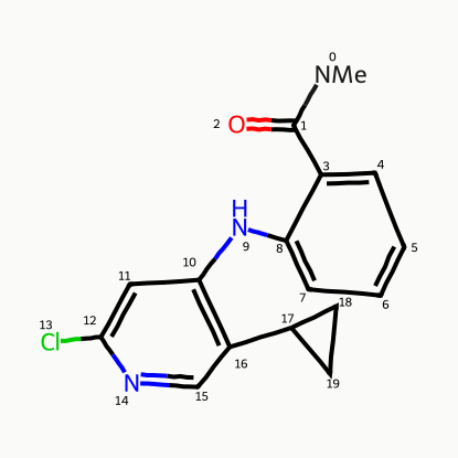 CNC(=O)c1ccccc1Nc1cc(Cl)ncc1C1CC1